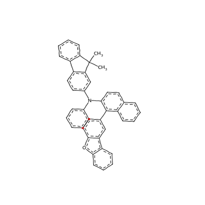 CC1(C)c2ccccc2-c2ccc(N(c3ccccc3)c3ccc4ccccc4c3-c3ccc4oc5ccccc5c4c3)cc21